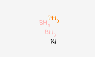 B.B.P.[Ni]